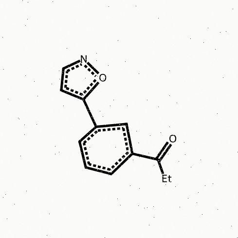 CCC(=O)c1cccc(-c2ccno2)c1